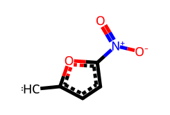 [CH]c1ccc([N+](=O)[O-])o1